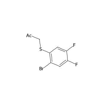 CC(=O)CSc1cc(F)c(F)cc1Br